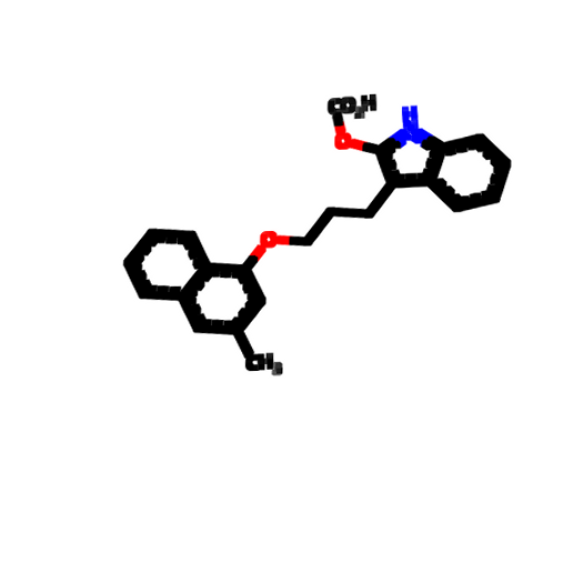 Cc1cc(OCCCc2c(OC(=O)O)[nH]c3ccccc23)c2ccccc2c1